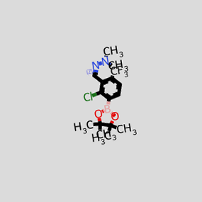 CN(C)/N=C\c1c(C(F)(F)F)ccc(B2OC(C)(C)C(C)(C)O2)c1Cl